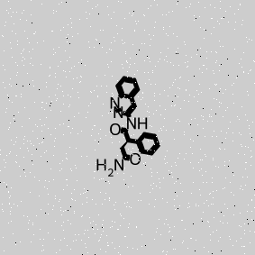 NC(=O)C[C@@H](C(=O)Nc1cc2ccccc2nn1)c1ccccc1